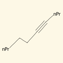 [CH2]CCCCC#CCCC